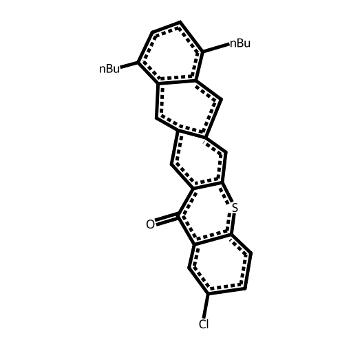 CCCCc1ccc(CCCC)c2cc3cc4c(=O)c5cc(Cl)ccc5sc4cc3cc12